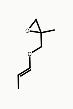 CC=COCC1(C)CO1